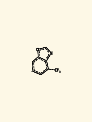 FC(F)(F)c1c[c]cc2ocnc12